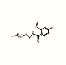 C=Nc1cc(Cl)ccc1C(=O)NCCNC=O